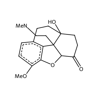 CNCCC12c3c4ccc(OC)c3OC1C(=O)CCC2(O)CC4